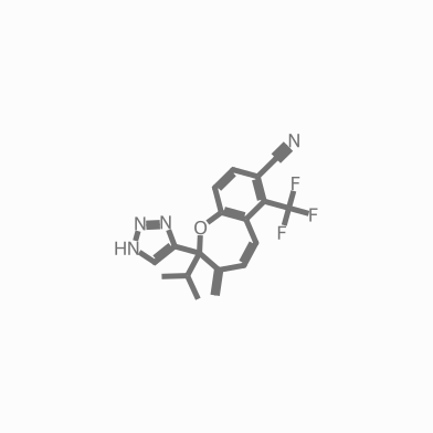 C=C1C=Cc2c(ccc(C#N)c2C(F)(F)F)OC1(c1c[nH]nn1)C(C)C